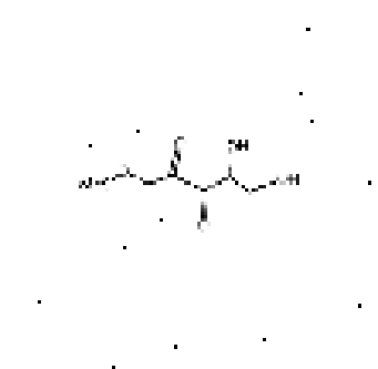 CSOCC(=O)[C@H](O)[C@H](O)CO